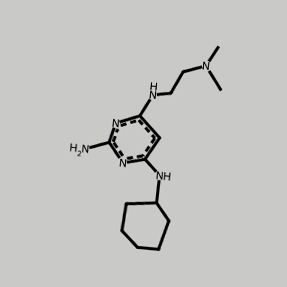 CN(C)CCNc1cc(NC2CCCCC2)nc(N)n1